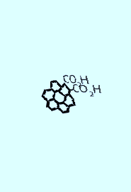 O=C(O)c1c(C(=O)O)c2ccc3ccc4ccc5ccc6ccc1c1c6c5c4c3c21